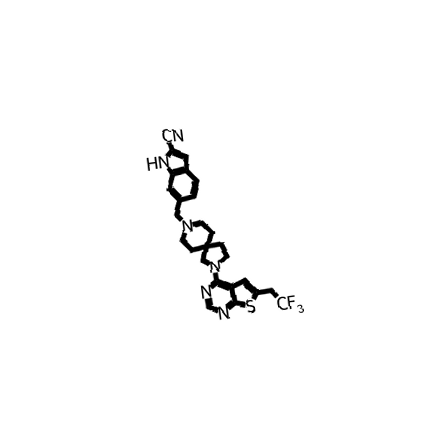 N#Cc1cc2ccc(CN3CCC4(CC3)CCN(c3ncnc5sc(CC(F)(F)F)cc35)C4)cc2[nH]1